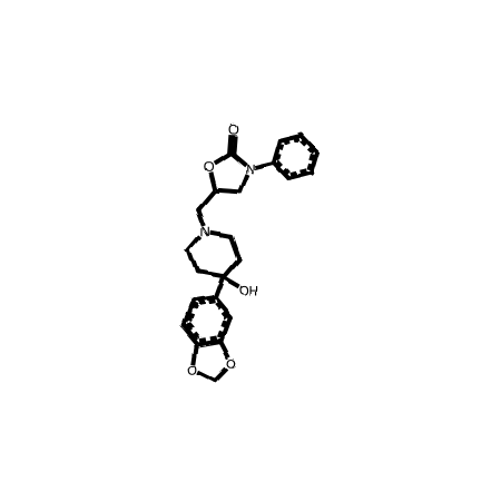 O=C1OC(CN2CCC(O)(c3ccc4c(c3)OCO4)CC2)CN1c1ccccc1